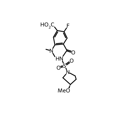 CO[C@@H]1CCN(S(=O)(=O)NC(=O)c2cc(F)c(C(=O)O)cc2N(C)C)C1